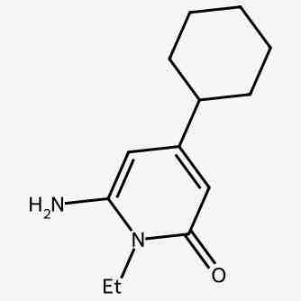 CCn1c(N)cc(C2CCCCC2)cc1=O